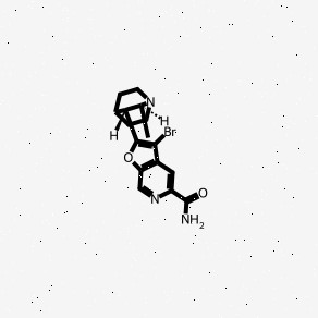 C[C@H]1[C@H](c2oc3cnc(C(N)=O)cc3c2Br)C2CCN1CC2